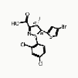 C[C@H]1C(C(=O)O)=NN(c2ccc(Cl)cc2Cl)[C@@H]1c1cc(Br)cs1